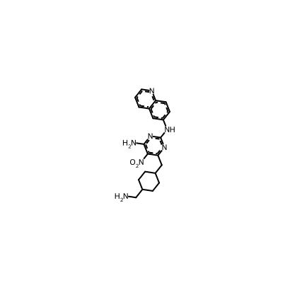 NCC1CCC(Cc2nc(Nc3ccc4ncccc4c3)nc(N)c2[N+](=O)[O-])CC1